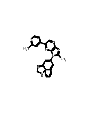 Cc1nc2ncc(-c3ccnc(N)c3)nc2n1C1=CC2=NCNC23C=CC=CC3=C1